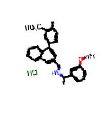 CCCOc1cccc(C(C)NCc2cc(-c3ccc(C)c(C(=O)O)c3)c3ccccc3c2)c1.Cl